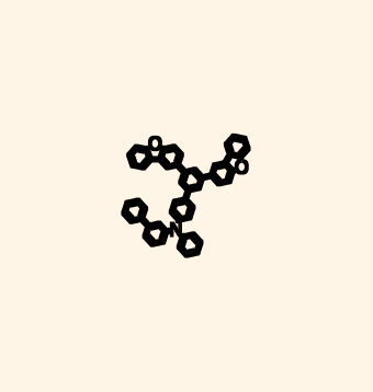 c1ccc(-c2cccc(N(c3ccccc3)c3ccc(-c4cc(-c5ccc6oc7ccccc7c6c5)cc(-c5ccc6oc7ccccc7c6c5)c4)cc3)c2)cc1